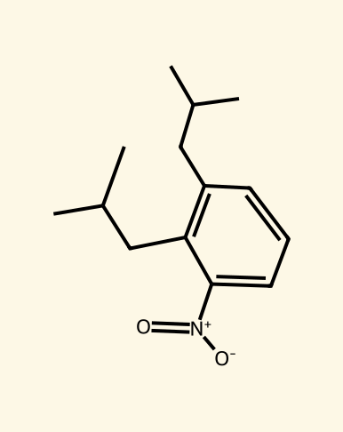 CC(C)Cc1cccc([N+](=O)[O-])c1CC(C)C